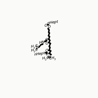 CCCCCCCC(=O)OCCCCCCC(CCCCCC(CCCN(C)C)OC(=O)CCCCCCC)OC(=O)NCCCN(C)C